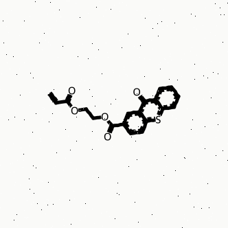 C=CC(=O)OCCOC(=O)c1ccc2sc3ccccc3c(=O)c2c1